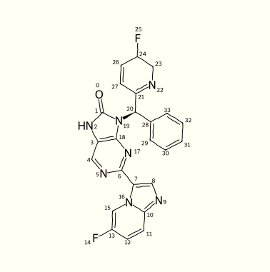 O=c1[nH]c2cnc(-c3cnc4ccc(F)cn34)nc2n1[C@@H](C1=NCC(F)C=C1)c1ccccc1